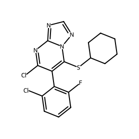 Fc1cccc(Cl)c1-c1c(Cl)nc2ncnn2c1SC1CCCCC1